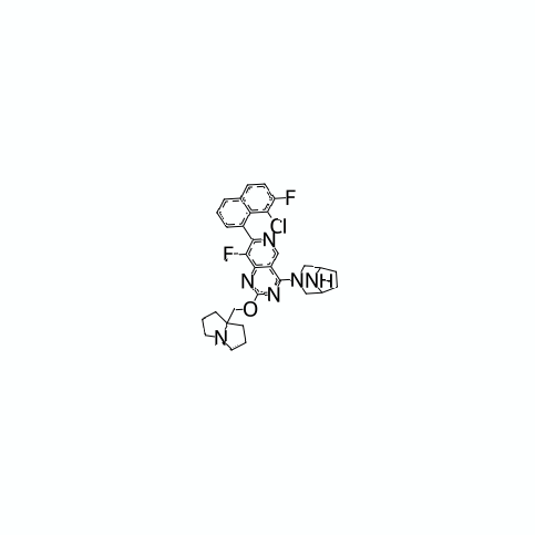 Fc1ccc2cccc(-c3ncc4c(N5CC6CCC(C5)N6)nc(OCC56CCCN5CCC6)nc4c3F)c2c1Cl